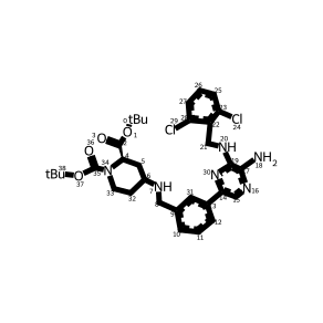 CC(C)(C)OC(=O)[C@H]1CC(NCc2cccc(-c3cnc(N)c(NCc4c(Cl)cccc4Cl)n3)c2)CCN1C(=O)OC(C)(C)C